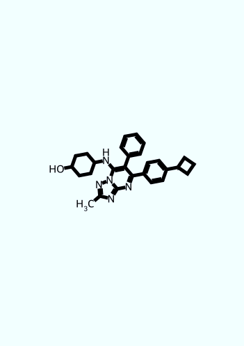 Cc1nc2nc(-c3ccc([C]4CCC4)cc3)c(-c3ccccc3)c(NC3CCC(O)CC3)n2n1